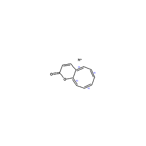 O=c1ccc2/c(o1)=C\C=C/C=C\C=2.[H+]